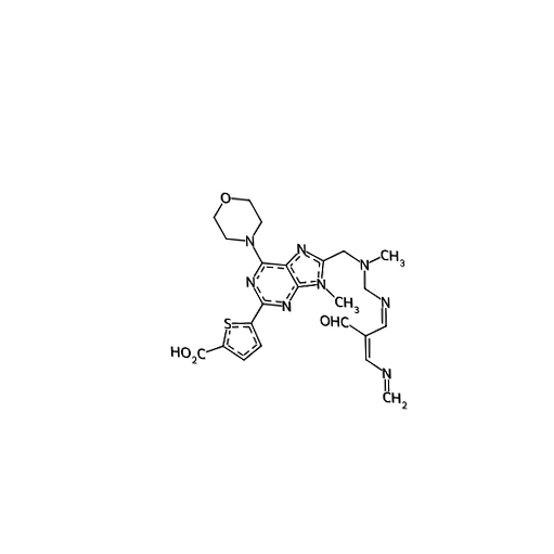 C=N/C=C(C=O)\C=N/CN(C)Cc1nc2c(N3CCOCC3)nc(-c3ccc(C(=O)O)s3)nc2n1C